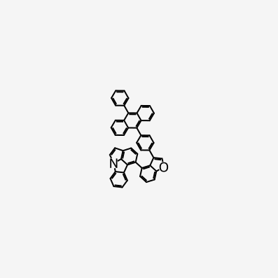 c1ccc(-c2c3ccccc3c(-c3ccc(-c4coc5cccc(-c6ccc7ccn8c9ccccc9c6c78)c45)cc3)c3ccccc23)cc1